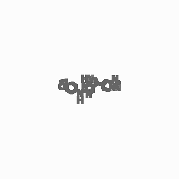 c1nc2cc(-c3c[nH]c4nc(N[C@H]5CC[C@]6(CCO6)CC5)ncc34)ccn2n1